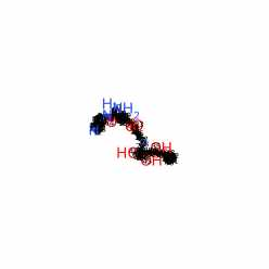 NCC(C(=O)Nc1ccc2cnccc2c1)c1ccc(COC(=O)CCC/C=C\C[C@@H]2[C@@H](CC[C@@H](O)CCc3ccccc3)[C@H](O)C[C@@H]2O)cc1